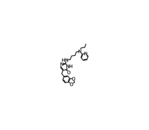 CCCN(CCCCNc1ncc(Cc2ccc3c(c2)OCO3)c(=O)[nH]1)c1ccccn1